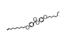 C=CCCCCCCCCOc1ccc(C(=O)Oc2ccc(OCCCCC[C@@H](C)CC)cc2)cc1